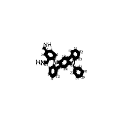 N=Cc1ccc(-n2c3ccccc3c3cc4c(cc32)c2ccccc2n4-c2ccccc2)c(C=N)c1